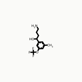 Cc1cc(OC(F)(F)F)cc(C(O)CCCN)c1